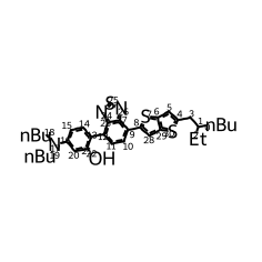 CCCCC(CC)Cc1cc2sc(-c3ccc(-c4ccc(N(CCCC)CCCC)cc4O)c4nsnc34)cc2s1